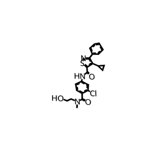 CN(CCO)C(=O)c1ccc(NC(=O)c2snc(-c3ccccc3)c2C2CC2)cc1Cl